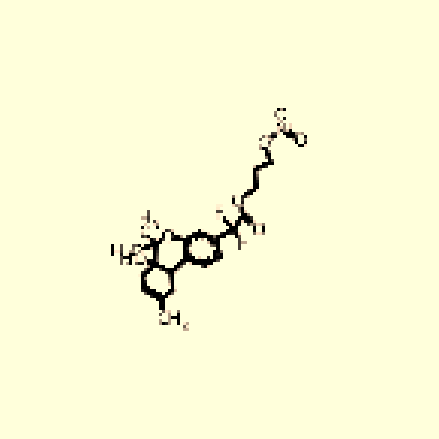 CC1=CCC2(O)C(C1)c1ccc(C(F)(F)C(=O)OCCCO[N+](=O)[O-])cc1OC2(C)C